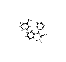 CN(C)C(=O)C(c1ccccc1)c1ccccc1.O=C1CNCCN1